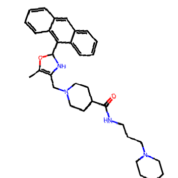 CC1=C(CN2CCC(C(=O)NCCCN3CCCCC3)CC2)NC(c2c3ccccc3cc3ccccc23)O1